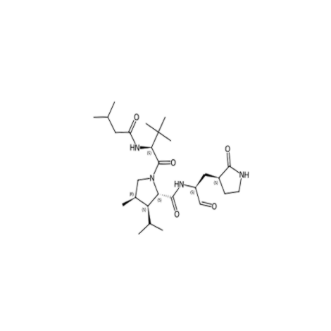 CC(C)CC(=O)N[C@H](C(=O)N1C[C@H](C)[C@H](C(C)C)[C@H]1C(=O)N[C@H](C=O)C[C@@H]1CCNC1=O)C(C)(C)C